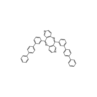 c1ccc(-c2ccc(-c3cccc(/C4=N/c5ccncc5/C(c5cccc(-c6ccc(-c7ccccc7)cc6)c5)=N\c5ccncc54)c3)cc2)cc1